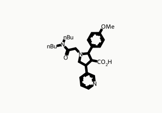 CCCCN(CCCC)C(=O)CN1CC(c2cccnc2)C(C(=O)O)C1c1ccc(OC)cc1